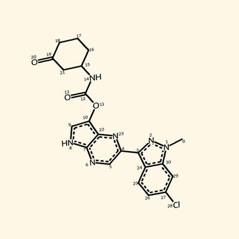 Cn1nc(-c2cnc3[nH]cc(OC(=O)NC4CCCC(=O)C4)c3n2)c2ccc(Cl)cc21